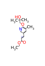 CCOC(=O)/C=C/c1cnc(OCC(C)(C)O)c(C)c1